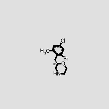 Cc1cc(Cl)cc(Br)c1C[C@@H]1CNCCO1